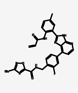 C=CC(=O)Nc1ccc(C)cc1-c1nc2c(-c3ccc(CNC(=O)c4nc(C(C)(C)C)no4)c(F)c3)ccnc2[nH]1